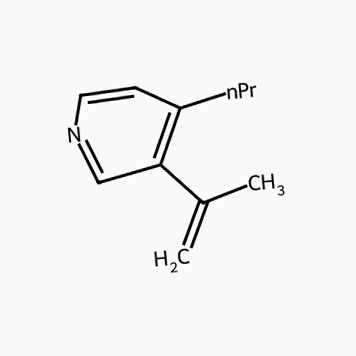 C=C(C)c1cnccc1CCC